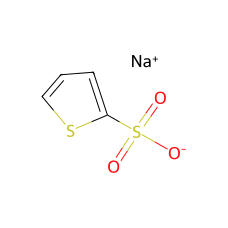 O=S(=O)([O-])c1cccs1.[Na+]